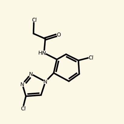 O=C(CCl)Nc1cc(Cl)ccc1-n1cc(Cl)nn1